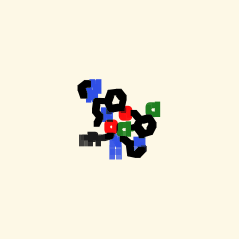 CCCC(=O)NCc1cccn1-c1ccc(Cl)c(COc2cccc3c(-n4cccn4)cc(C)nc23)c1Cl